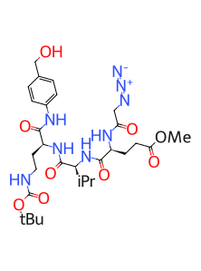 COC(=O)CC[C@H](NC(=O)CN=[N+]=[N-])C(=O)N[C@H](C(=O)N[C@@H](CCNC(=O)OC(C)(C)C)C(=O)Nc1ccc(CO)cc1)C(C)C